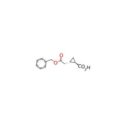 O=C(C[C@@H]1C[C@H]1C(=O)O)OCc1ccccc1